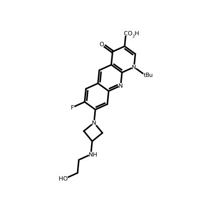 CC(C)(C)n1cc(C(=O)O)c(=O)c2cc3cc(F)c(N4CC(NCCO)C4)cc3nc21